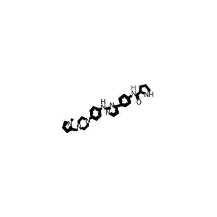 Cn1cccc1CN1CCN(c2ccc(Nc3nccc(-c4ccc(NC(=O)C5CCCN5)cc4)n3)cc2)CC1